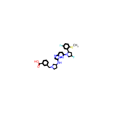 CSc1ccc(F)cc1C1CC(F)CN1c1ccc2ncc(NC3CCN(Cc4cccc(C(=O)O)c4)C3)n2n1